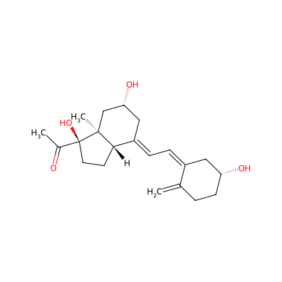 C=C1CC[C@@H](O)C/C1=C/C=C1\C[C@@H](O)C[C@@]2(C)[C@H]1CC[C@]2(O)C(C)=O